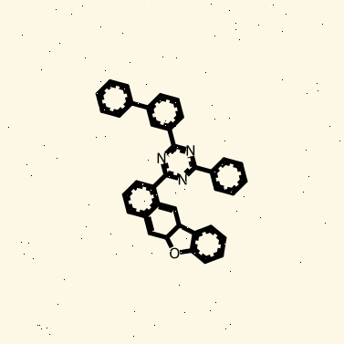 C1=c2cccc(-c3nc(-c4ccccc4)nc(-c4cccc(-c5ccccc5)c4)n3)c2=CC2c3ccccc3OC12